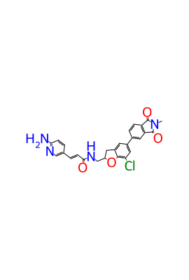 CN1C(=O)c2ccc(-c3cc(Cl)c4c(c3)CC(CNC(=O)C=Cc3ccc(N)nc3)O4)cc2C1=O